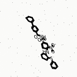 O=C(NS(=O)(=O)c1ccc(NC2CCCCC2Sc2ccccc2)c([N+](=O)[O-])c1)c1ccc(C2=CCCCC2)cc1